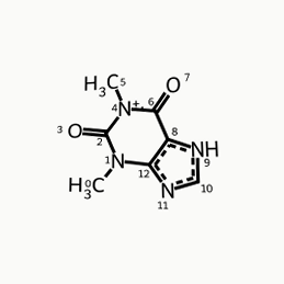 CN1C(=O)[N+](C)C(=O)c2[nH]cnc21